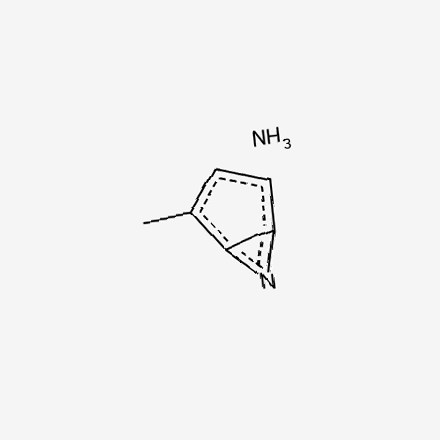 Cc1ccc2nc1-2.N